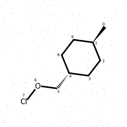 C[C@H]1CC[C@H](COCl)CC1